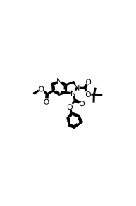 COC(=O)c1cnc2c(c1)N(C(=O)Oc1ccccc1)N(C(=O)OC(C)(C)C)C2